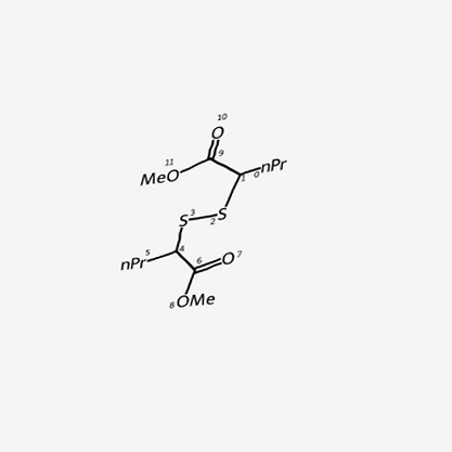 CCCC(SSC(CCC)C(=O)OC)C(=O)OC